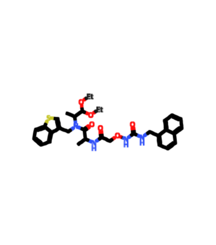 CCOC(OCC)C(C)N(Cc1csc2ccccc12)C(=O)C(C)NC(=O)CONC(=O)NCc1cccc2ccccc12